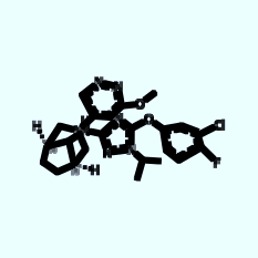 COc1cc(N2C[C@H]3CC[C@@H](C2)C3Nc2nc(Oc3ccc(F)c(Cl)c3)n(C(C)C)n2)cnn1